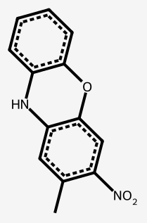 Cc1cc2c(cc1[N+](=O)[O-])Oc1ccccc1N2